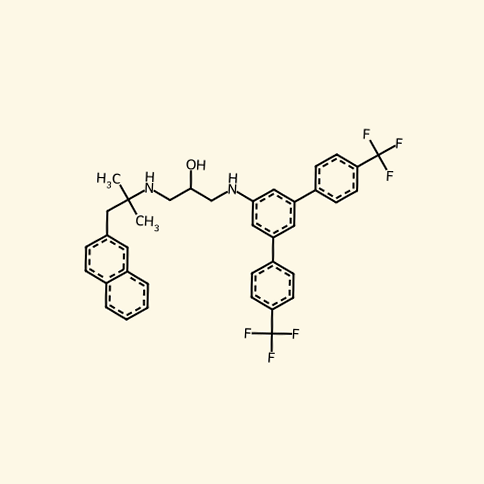 CC(C)(Cc1ccc2ccccc2c1)NCC(O)CNc1cc(-c2ccc(C(F)(F)F)cc2)cc(-c2ccc(C(F)(F)F)cc2)c1